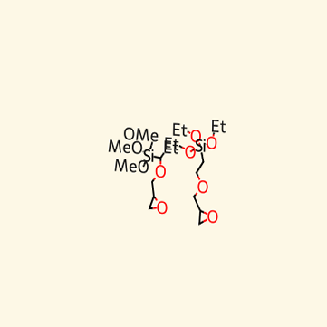 CCC(OCC1CO1)[Si](OC)(OC)OC.CCO[Si](CCOCC1CO1)(OCC)OCC